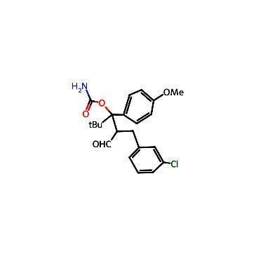 COc1ccc(C(OC(N)=O)(C(C=O)Cc2cccc(Cl)c2)C(C)(C)C)cc1